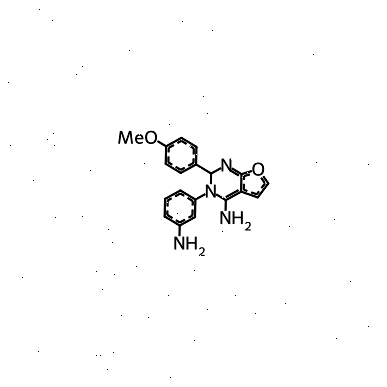 COc1ccc(C2N=c3occc3=C(N)N2c2cccc(N)c2)cc1